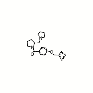 O=C(c1ccc(OCc2cscn2)cc1)N1CCC[C@H]1CN1CCCC1